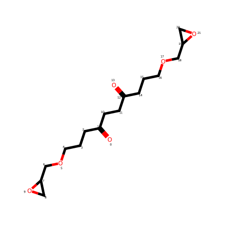 O=C(CCCOCC1CO1)CCC(=O)CCCOCC1CO1